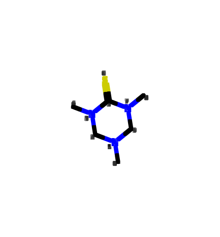 CN1CN(C)C(=S)N(C)C1